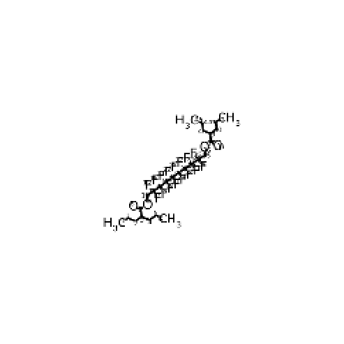 CCCC(CCC)C(=O)OCC(F)(F)C(F)(F)C(F)(F)C(F)(F)C(F)(F)C(F)(F)C(F)(F)C(F)(F)COC(=O)C(CCC)CCC